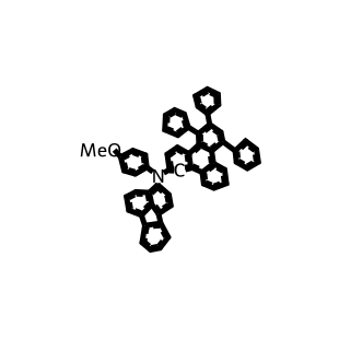 COc1ccc(N(c2ccc3c(c2)c2ccccc2c2c(-c4ccccc4)cc(-c4ccccc4)c(-c4ccccc4)c32)c2ccc3c4c(cccc24)-c2ccccc2-3)cc1